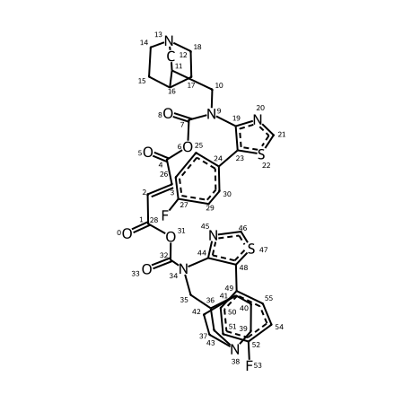 O=C(/C=C/C(=O)OC(=O)N(CC1CN2CCC1CC2)c1ncsc1-c1ccc(F)cc1)OC(=O)N(CC1CN2CCC1CC2)c1ncsc1-c1ccc(F)cc1